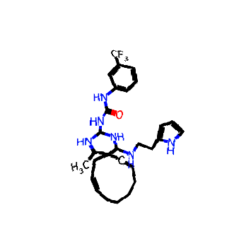 CC1NC(NC(=O)Nc2cccc(C(F)(F)F)c2)NC(NCCc2ccc[nH]2)C12C/C=C\CCCCCC2